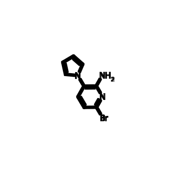 Nc1nc(Br)ccc1-n1cccc1